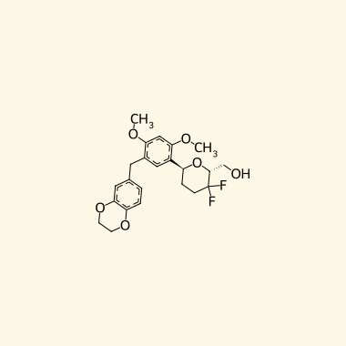 COc1cc(OC)c([C@@H]2CCC(F)(F)[C@@H](CO)O2)cc1Cc1ccc2c(c1)OCCO2